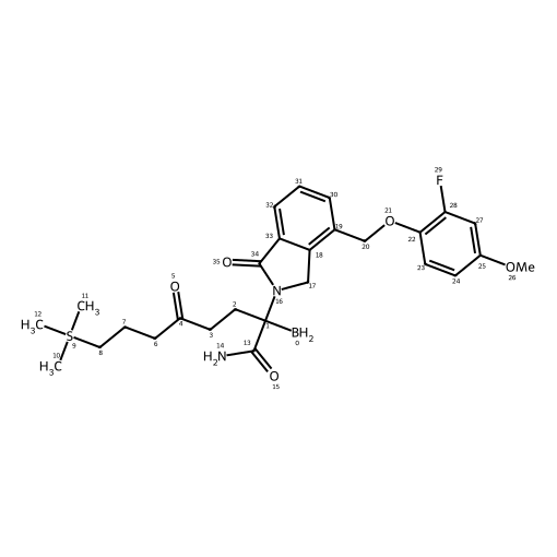 BC(CCC(=O)CCCS(C)(C)C)(C(N)=O)N1Cc2c(COc3ccc(OC)cc3F)cccc2C1=O